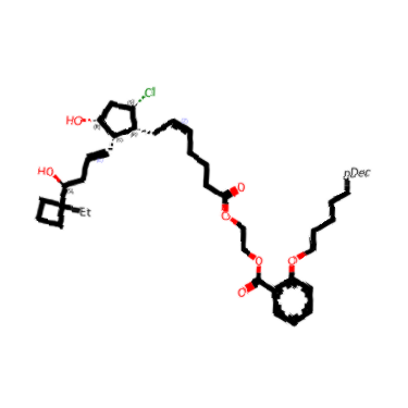 CCCCCCCCCCCCCCCOc1ccccc1C(=O)OCCOC(=O)CCC/C=C\C[C@@H]1[C@H](/C=C/C[C@H](O)C2(CC)CCC2)[C@H](O)C[C@@H]1Cl